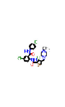 CN1CCN(Cc2csc(C(=O)Nc3ccc(Cl)cc3C(=O)Nc3ccc(Cl)cc3)c2Cl)CC1